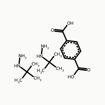 CC(C)(C)NN.CC(C)(C)NN.O=C(O)c1ccc(C(=O)O)cc1